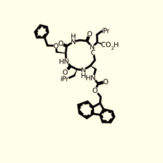 CC(C)C[C@@H]1N[C@H](CNC(=O)OCC2c3ccccc3-c3ccccc32)CCN([C@@H](CC(C)C)C(=O)O)C(=O)CNC(=O)[C@H](COCc2ccccc2)NC1=O